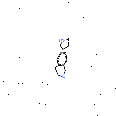 C1CCNC1.c1ccc2c(c1)CCNC2